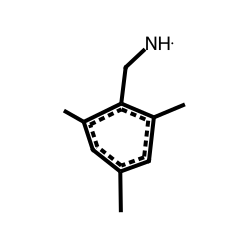 Cc1cc(C)c(C[NH])c(C)c1